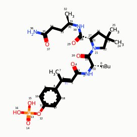 CCCC[C@H](NC(=O)/C=C(\C)c1ccc(OP(=O)(O)O)cc1)C(=O)N1CC(C)(C)C[C@H]1C(=O)N[C@H](C)CCC(N)=O